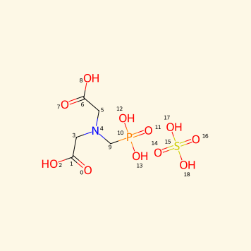 O=C(O)CN(CC(=O)O)CP(=O)(O)O.O=S(=O)(O)O